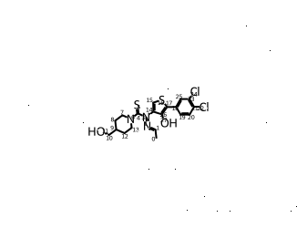 CC=NN(C(=S)N1CCC(CO)CC1)c1csc(-c2ccc(Cl)c(Cl)c2)c1O